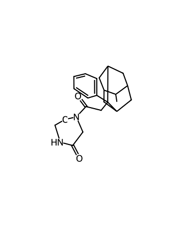 CC1C2CC3CC1CC(C2)C3(CC(=O)N1CCNC(=O)C1)c1ccccc1